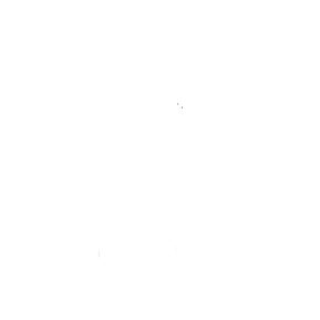 CC(C)CCCC(CO)N1CCCC1